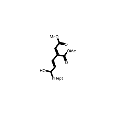 CCCCCCCC(O)C=CC(=CC(=O)OC)C(=O)OC